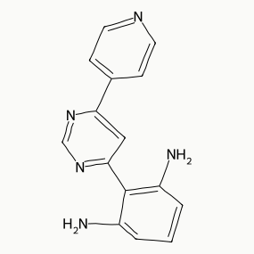 Nc1cccc(N)c1-c1cc(-c2ccncc2)ncn1